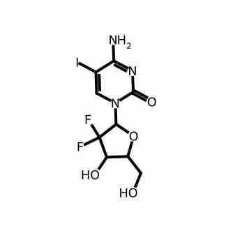 Nc1nc(=O)n(C2OC(CO)C(O)C2(F)F)cc1I